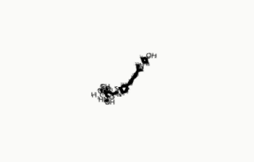 C[C@@](CCc1nc2ccc(C#CC#CC3CN(C4CC(O)C4)C3)cc2s1)(C(=O)NO)S(C)(=O)=O